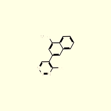 COc1cc(-c2cnnnc2C(Cl)(Cl)Cl)cc2ccccc12